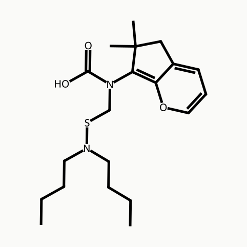 CCCCN(CCCC)SCN(C(=O)O)C1=C2OC=CC=C2CC1(C)C